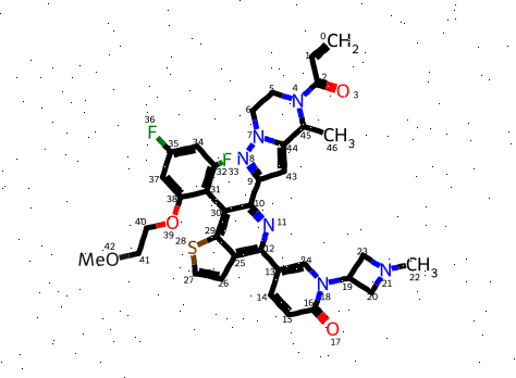 C=CC(=O)N1CCn2nc(-c3nc(-c4ccc(=O)n(C5CN(C)C5)c4)c4ccsc4c3-c3c(F)cc(F)cc3OCCOC)cc2C1C